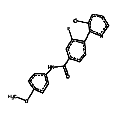 COc1ccc(NC(=O)c2ccc(-c3ncccc3Cl)c(F)c2)cc1